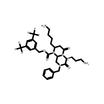 NCCCCC1CC(=O)N2C(CN(Cc3ccccc3)C(=O)[C@@H]2CCCN)N1C(=O)OCc1cc(C(F)(F)F)cc(C(F)(F)F)c1